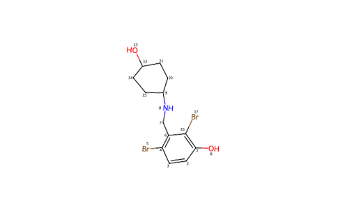 Oc1ccc(Br)c(CNC2CCC(O)CC2)c1Br